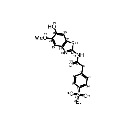 CCS(=O)(=O)c1ccc(CC(=O)Nc2nc3cc(OC)c(O)cc3s2)cc1